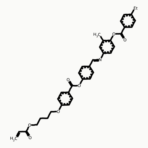 C=CC(=O)OCCCCOc1ccc(C(=O)Oc2ccc(/C=N/c3ccc(OC(=O)c4ccc(CC)cc4)c(C)c3)cc2)cc1